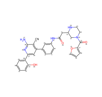 N#Cc1c(-c2cccc(NC(=O)CC3CN(C(=O)c4ccco4)CCN3)c2)cc(-c2ccccc2O)nc1N